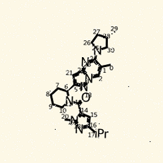 Cc1cn2nc([C@@H]3CCCCN3C(=O)c3cc(C(C)C)nn3C)cc2nc1N1CC[C@H](C)C1